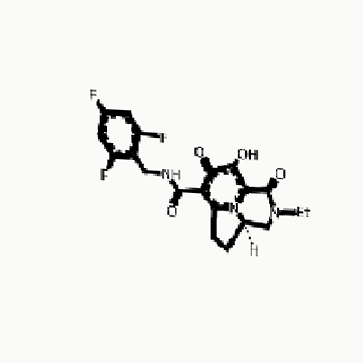 CCN1C[C@H]2CCc3c(C(=O)NCc4c(F)cc(F)cc4F)c(=O)c(O)c(n32)C1=O